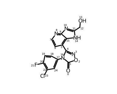 O=c1onc(-c2ccnc3nc(CO)[nH]c23)n1-c1ccc(F)c(Cl)c1